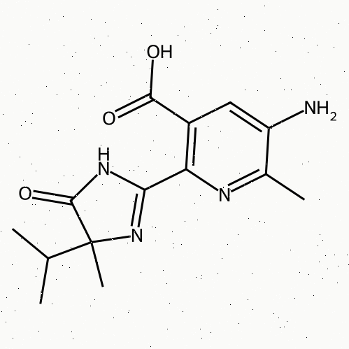 Cc1nc(C2=NC(C)(C(C)C)C(=O)N2)c(C(=O)O)cc1N